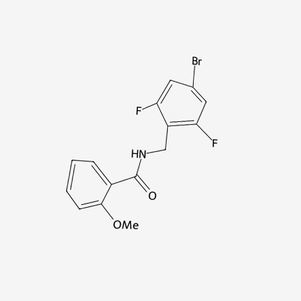 COc1ccccc1C(=O)NCc1c(F)cc(Br)cc1F